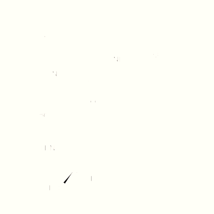 C[C@H](F)[C@H](N)Cc1oc2c(NCc3ccco3)cc(Cl)nc2c1Br